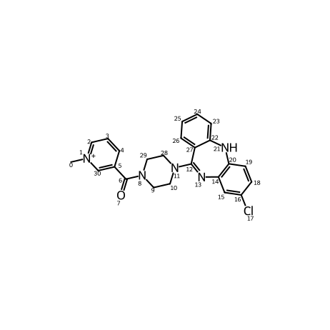 C[n+]1cccc(C(=O)N2CCN(C3=Nc4cc(Cl)ccc4Nc4ccccc43)CC2)c1